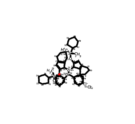 C[Si](C)(OC1=CC2=C(CCCC2)[CH]1[Zr+2]([CH]1C(O[Si](C)(C)C2CCCCC2)=CC2=C1CCCC2)[SiH](c1ccccc1)c1ccccc1)C1CCCCC1.[Cl-].[Cl-]